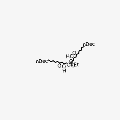 CCCCCCCCCCCCCCCC(=O)CC(O)COP(OCC)OCC(O)CC(=O)CCCCCCCCCCCCCCC